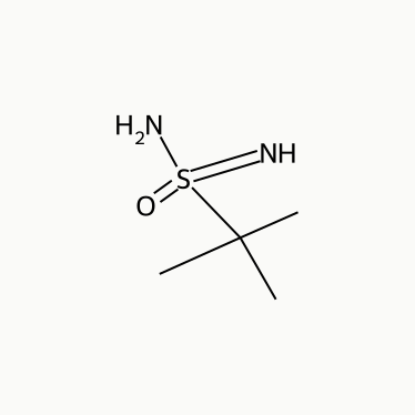 CC(C)(C)S(=N)(N)=O